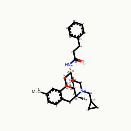 COc1ccc2c(c1)[C@]13CCN(CC4CC4)[C@H](C2)[C@]12CC[C@@](NC(=O)CCc1ccccc1)(CO2)C3